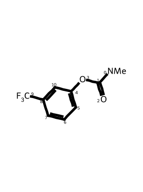 CNC(=O)Oc1cccc(C(F)(F)F)c1